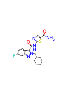 NC(=O)c1cnc(NC(=O)c2c3ccc(F)cc3nn2CC2CCCCC2)s1